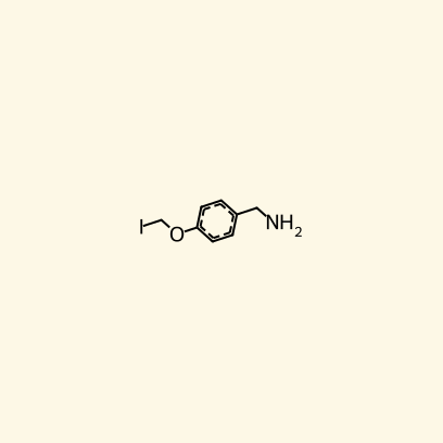 NCc1ccc(OCI)cc1